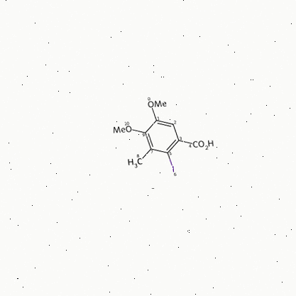 COc1cc(C(=O)O)c(I)c(C)c1OC